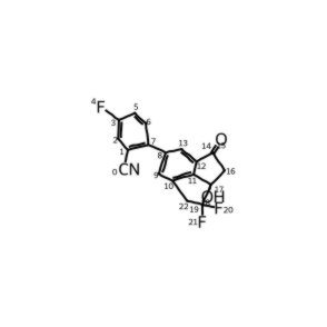 N#Cc1cc(F)ccc1-c1cc2c3c(c1)C(=O)CC3(O)C(F)(F)C2